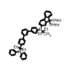 CCCCCCC1(CCCCCC)c2ccccc2-c2ccc(N(c3ccc(-c4cccc(-c5ccc(C(CC)(CC)N(c6ccccc6)c6ccccc6)cc5)c4)cc3)C(C)(CC)CC)cc21